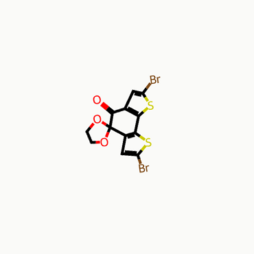 O=C1c2cc(Br)sc2-c2sc(Br)cc2C12OCCO2